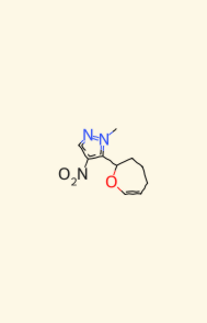 Cn1ncc([N+](=O)[O-])c1C1CCCC=CO1